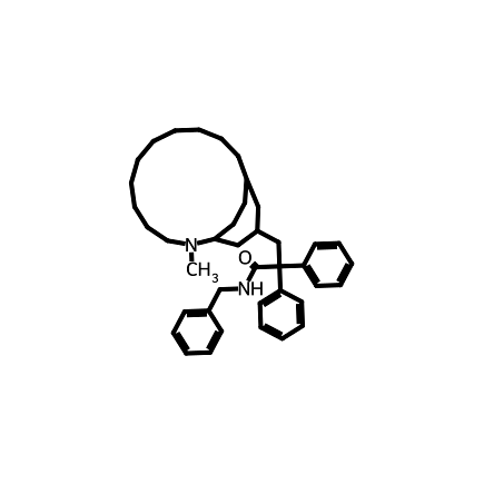 CN1CCCCCCCCCCC2CCC1CC(CC(C(=O)NCc1ccccc1)(c1ccccc1)c1ccccc1)C2